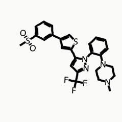 CN1CCN(c2ccccc2-n2nc(C(F)(F)F)cc2-c2cc(-c3cccc(S(C)(=O)=O)c3)cs2)CC1